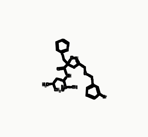 CC(C)CC(NC(=O)C1(Cc2ccccc2)CC(COCc2cccc(Br)c2)=NO1)B(O)O